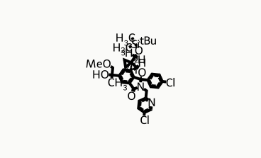 [2H]C([2H])(O[C@]1(c2ccc(Cl)cc2)c2c(F)cc(C(C)(O)COC)cc2C(=O)N1Cc1ccc(Cl)cn1)C1(C([2H])([2H])O[Si](C)(C)C(C)(C)C)CC1